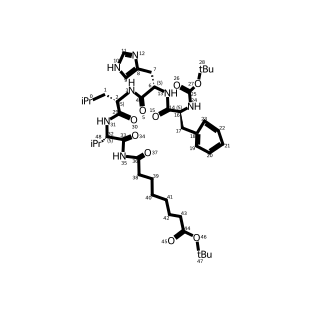 CC(C)C[C@H](NC(=O)[C@H](Cc1c[nH]cn1)NC(=O)[C@H](Cc1ccccc1)NC(=O)OC(C)(C)C)C(=O)N[C@H](C(=O)NC(=O)CCCCCCC(=O)OC(C)(C)C)C(C)C